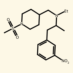 CCN(CC1CCN(S(C)(=O)=O)CC1)C(C)Cc1cccc([N+](=O)[O-])c1